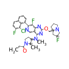 C=CC(=O)N1CC[C@@H](N(C)c2nc(OC[C@@]34CCCN3C[C@H](F)C4)nc3c(F)c(-c4cccc5ccc(F)c(Cl)c45)ncc23)[C@H]1C